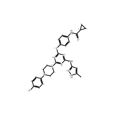 Cc1cc(Nc2nc(Sc3ccc(NC(=O)C4CC4)cc3)nc(N3CCN(c4ccc(F)cc4)CC3)n2)n[nH]1